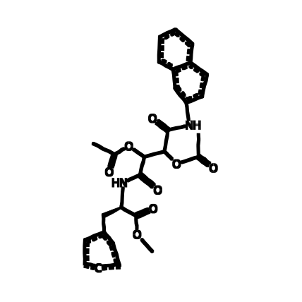 COC(=O)[C@@H](Cc1ccccc1)NC(=O)C(OC(C)=O)C(OC(C)=O)C(=O)Nc1ccc2ccccc2c1